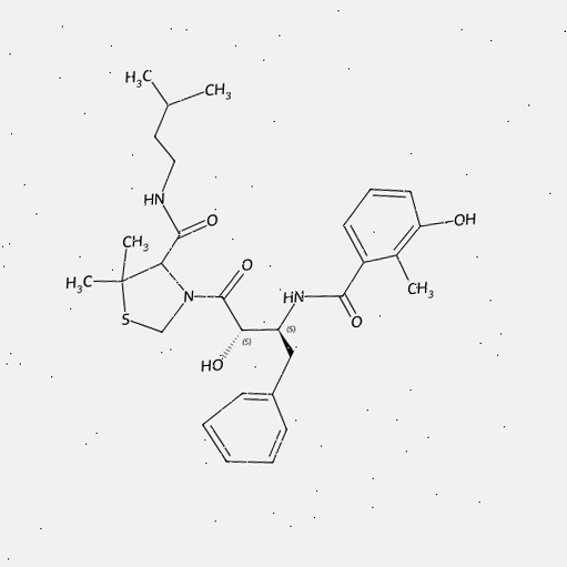 Cc1c(O)cccc1C(=O)N[C@@H](Cc1ccccc1)[C@H](O)C(=O)N1CSC(C)(C)C1C(=O)NCCC(C)C